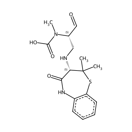 CN(C(=O)O)[C@H](C=O)CN[C@H]1C(=O)Nc2ccccc2SC1(C)C